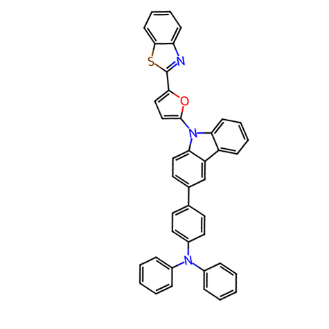 c1ccc(N(c2ccccc2)c2ccc(-c3ccc4c(c3)c3ccccc3n4-c3ccc(-c4nc5ccccc5s4)o3)cc2)cc1